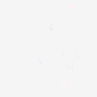 CCC(=O)Nc1cc(Nc2nccc(-c3c(CCCO)[nH]c4ccccc34)n2)c(OC)cc1F